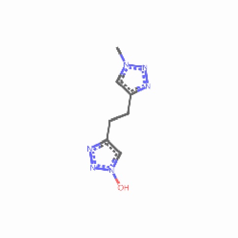 Cn1cc(CCc2cn(O)nn2)nn1